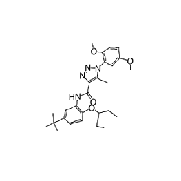 CCC(CC)Oc1ccc(C(C)(C)C)cc1NC(=O)c1nnn(-c2cc(OC)ccc2OC)c1C